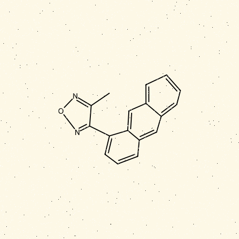 Cc1nonc1-c1cccc2cc3ccccc3cc12